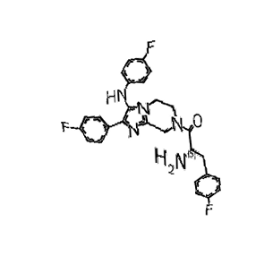 N[C@@H](Cc1ccc(F)cc1)C(=O)N1CCn2c(nc(-c3ccc(F)cc3)c2Nc2ccc(F)cc2)C1